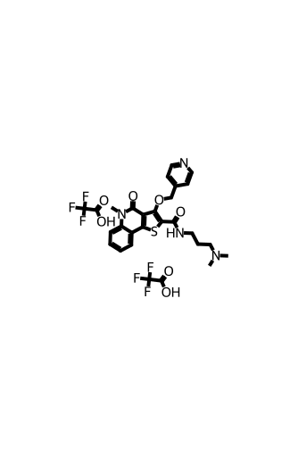 CN(C)CCCNC(=O)c1sc2c(c1OCc1ccncc1)c(=O)n(C)c1ccccc21.O=C(O)C(F)(F)F.O=C(O)C(F)(F)F